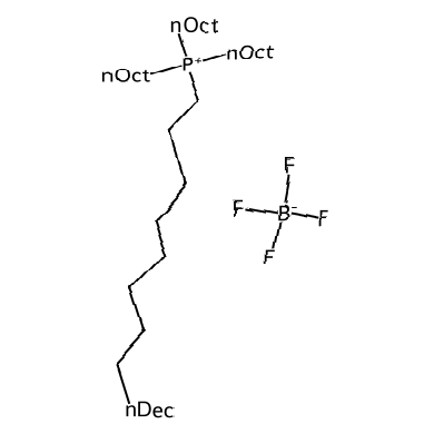 CCCCCCCCCCCCCCCCCC[P+](CCCCCCCC)(CCCCCCCC)CCCCCCCC.F[B-](F)(F)F